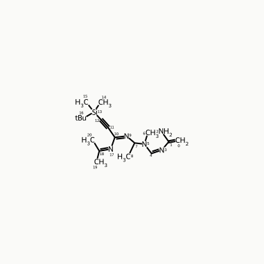 C=C(N)/N=C\N(C)C(C)/N=C(/C#C[Si](C)(C)C(C)(C)C)N=C(C)C